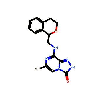 CC(C)(C)c1cn2c(=O)[nH]nc2c(NCC2OCCc3ccccc32)n1